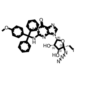 COc1ccc(C(Nc2nc3c(ncn3[C@@H]3O[C@@](CI)(N=[N+]=[N-])[C@@H](O)[C@@H]3O)c(=O)[nH]2)(c2ccccc2)c2ccccc2)cc1